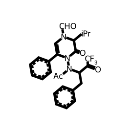 CC(=O)N(C(Cc1ccccc1)C(=O)C(F)(F)F)N1C(=O)C(C(C)C)N(C=O)C=C1c1ccccc1